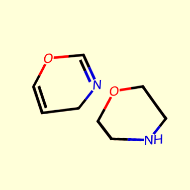 C1=COC=NC1.C1COCCN1